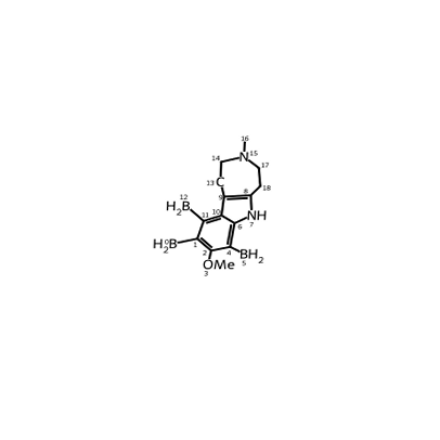 Bc1c(OC)c(B)c2[nH]c3c(c2c1B)CCN(C)CC3